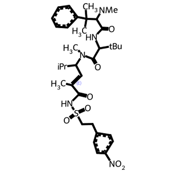 CNC(C(=O)NC(C(=O)N(C)C(/C=C(\C)C(=O)NS(=O)(=O)CCc1ccc([N+](=O)[O-])cc1)C(C)C)C(C)(C)C)C(C)(C)c1ccccc1